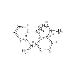 C=Nc1ccccc1N(C)c1nccnc1N(C)C